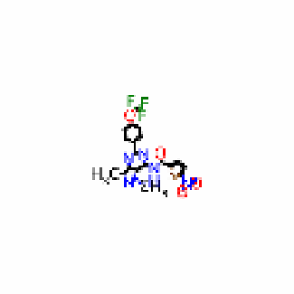 Cc1nn(C)c2c(NC(=O)c3ccc([N+](=O)[O-])s3)nc(-c3ccc(OC(F)(F)F)cc3)nc12